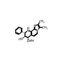 CO[C@@H]1c2ccn3c(C)c(C)nc3c2N[C@@H](c2ccccc2)[C@@H]1O